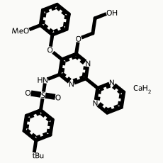 COc1ccccc1Oc1c(NS(=O)(=O)c2ccc(C(C)(C)C)cc2)nc(-c2ncccn2)nc1OCCO.[CaH2]